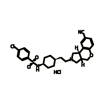 Cl.N#Cc1ccc2c(c1)[C@@H]1CN(CC[C@H]3CC[C@H](NS(=O)(=O)c4ccc(Cl)cc4)CC3)C[C@H]1CO2